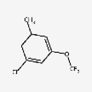 CC1C=C(OC(F)(F)F)C=C(Cl)C1